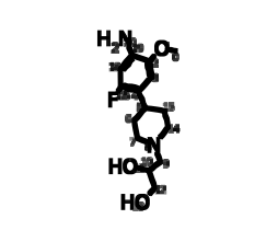 COc1cc(C2CCN(CC(O)CO)CC2)c(F)cc1N